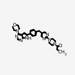 C=CC(=O)N1CCN(c2ncc(Cc3ccc(-c4cc5c(N6CCOCC6)ncnc5[nH]4)cc3)cn2)CC1